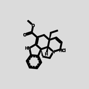 CC[C@]12C=CCN3CC[C@]4(C(=C(C(=O)OC)C1)Nc1ccccc14)[C@@H]32.Cl